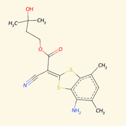 Cc1cc(C)c2c(c1N)S/C(=C(\C#N)C(=O)OCCC(C)(C)O)S2